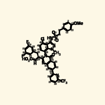 COc1ccc(CCS(=O)(=O)Nc2nn(C)c3c(-n4c([C@H](Cc5cc(F)cc(F)c5)NC(=O)O)nc5cc(-c6cccc(C(F)(F)F)n6)ccc5c4=O)ccc(Cl)c23)cc1